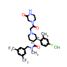 Cc1cc(F)ccc1[C@@H]1CN(CC(=O)N2CCNC(=O)C2)CC[C@H]1C(=O)N(C)Cc1cc(C(F)(F)F)cc(C(F)(F)F)c1.Cl